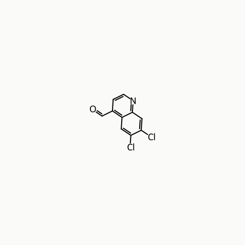 O=Cc1ccnc2cc(Cl)c(Cl)cc12